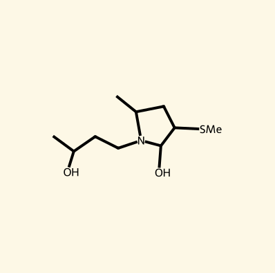 CSC1CC(C)N(CCC(C)O)C1O